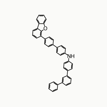 c1ccc(-c2cccc(-c3ccc(Nc4ccc(-c5ccc(-c6cccc7c6oc6ccccc67)cc5)cc4)cc3)c2)cc1